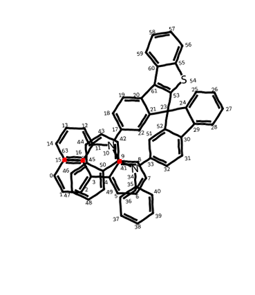 c1ccc(-c2ccccc2N(c2ccccc2)c2ccc3c(c2)C2(c4ccccc4-c4ccc(N(c5ccccc5)c5cccc6ccccc56)cc42)c2sc4ccccc4c2-3)cc1